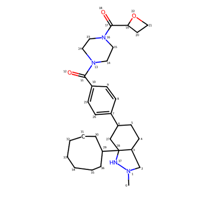 CN1CC2CCC(c3ccc(C(=O)N4CCN(C(=O)C5CCO5)CC4)cc3)CC2(C2CCCCCCC2)N1